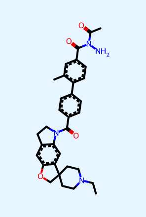 CCN1CCC2(CC1)COc1cc3c(cc12)N(C(=O)c1ccc(-c2ccc(C(=O)N(N)C(C)=O)cc2C)cc1)CC3